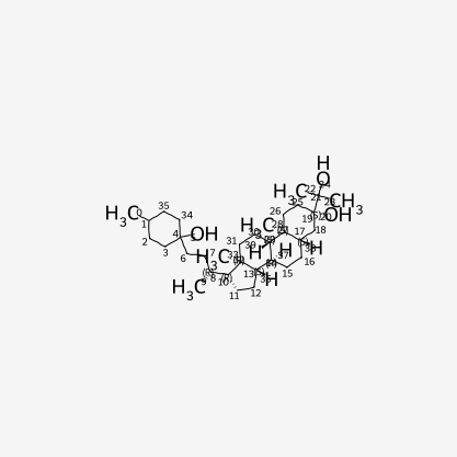 CC1CCC(O)(CC[C@@H](C)[C@H]2CC[C@H]3[C@@H]4CC[C@H]5C[C@](O)(C(C)(C)O)CC[C@]5(C)[C@H]4CC[C@]23C)CC1